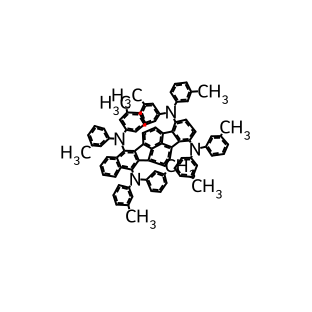 Cc1cccc(N(c2cccc(C)c2)c2ccc(N(c3cccc(C)c3)c3cccc(C)c3)c3c2-c2ccc4c5c(ccc-3c25)-c2c-4c(N(c3cccc(C)c3)c3cccc(C)c3)c3ccccc3c2N(c2cccc(C)c2)c2cccc(C)c2)c1